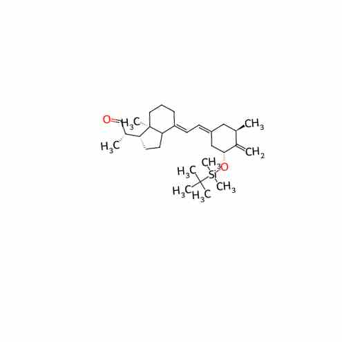 C=C1[C@H](C)C/C(=C/C=C2\CCC[C@@]3(C)C2CC[C@@H]3[C@H](C)C=O)C[C@H]1O[Si](C)(C)C(C)(C)C